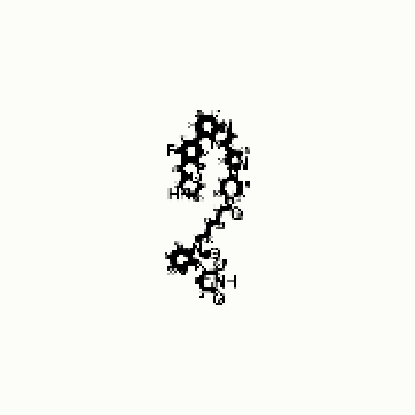 O=C1CCC(n2c(=O)n(CCCCCC(=O)N3CCC(n4cc(-c5cnc6cccc(-c7cc(F)c(CC8CNCCO8)c(F)c7)c6n5)cn4)CC3)c3ccccc32)C(=O)N1